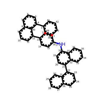 c1ccc(-c2cccc3cccc(-c4ccc(Nc5ccc(-c6cccc7ccccc67)c6ccccc56)cc4)c23)cc1